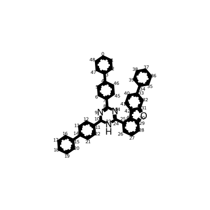 c1ccc(-c2ccc(C3=NC(c4ccc(-c5ccccc5)cc4)NC(c4cccc5oc6cc(-c7ccccc7)ccc6c45)=N3)cc2)cc1